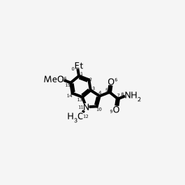 CCc1cc2c(C(=O)C(N)=O)cn(C)c2cc1OC